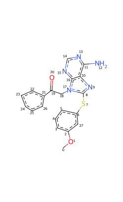 COc1cccc(Sc2nc3c(N)ncnc3n2CC(=O)c2ccccc2)c1